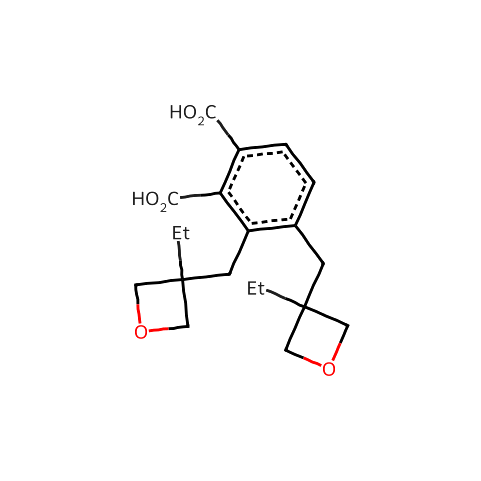 CCC1(Cc2ccc(C(=O)O)c(C(=O)O)c2CC2(CC)COC2)COC1